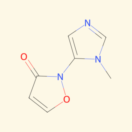 Cn1cncc1-n1occc1=O